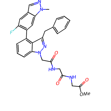 COC(=O)CNC(=O)CNC(=O)Cn1nc(Cc2ccccc2)c2c(-c3cc4c(cnn4C)cc3F)cccc21